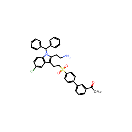 COC(=O)c1cccc(-c2ccc(S(=O)(=O)CCc3c(CCN)n(C(c4ccccc4)c4ccccc4)c4ccc(Cl)cc34)cc2)c1